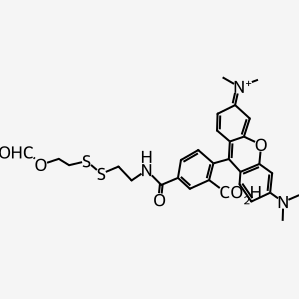 CN(C)c1ccc2c(-c3ccc(C(=O)NCCSSCCOC=O)cc3C(=O)O)c3ccc(=[N+](C)C)cc-3oc2c1